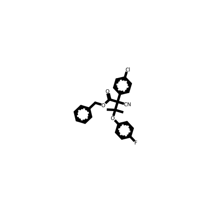 CC(C)(Oc1ccc(F)cc1)C(C#N)(C(=O)OCc1ccccc1)c1ccc(Cl)cc1